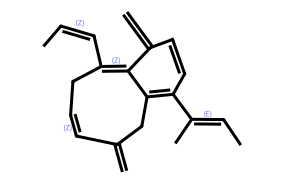 C=C1/C=C\CC(/C=C\C)=c2\c(c(/C(C)=C/C)ccc2=C)C1